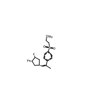 COCCS(=O)(=O)c1ccc(/C(C)=C\[C@H]2C[C@@H](F)[C@@H](F)C2)cc1